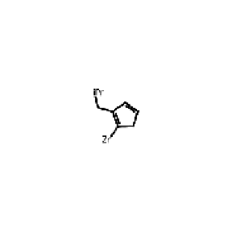 CC(C)CC1=[C]([Zr])CC=C1